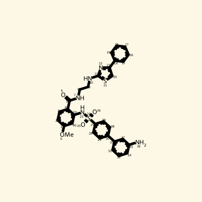 COc1ccc(C(=O)NCCNc2nc(-c3ccccc3)cs2)c(NS(=O)(=O)c2ccc(-c3cccc(N)c3)cc2)c1